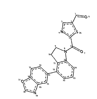 O=Cc1cnc(C(=O)N2CCc3c(-c4ccc5ocnc5c4)cccc32)s1